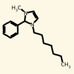 CCCCCCCN1C=CN(C)C1c1ccccc1